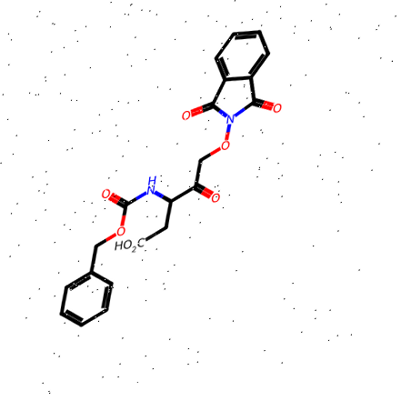 O=C(O)CC(NC(=O)OCc1ccccc1)C(=O)CON1C(=O)c2ccccc2C1=O